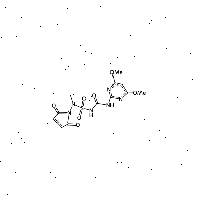 COc1cc(OC)nc(NC(=O)NS(=O)(=O)N(C)N2C(=O)C=CC2=O)n1